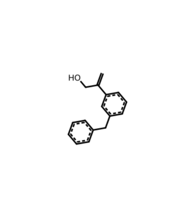 C=C(CO)c1cccc(Cc2ccccc2)c1